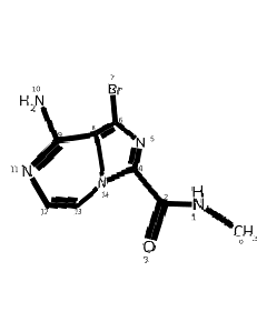 CNC(=O)c1nc(Br)c2c(N)nccn12